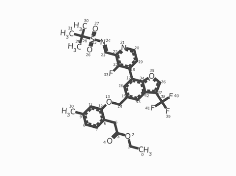 CCOC(=O)Cc1ccc(C)cc1OCc1cc(-c2ccnc(C=NS(=O)(=O)C(C)(C)C)c2F)c2occ(C(F)(F)F)c2c1